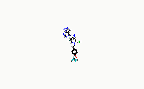 Cl.FC(F)(F)Oc1ccc(CCN2CC[C@@H](Nc3ncnc4[nH]ncc34)C(F)(F)C2)cc1